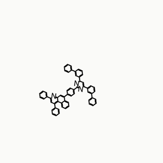 c1ccc(-c2cccc(-c3cc(-c4cccc(-c5ccccc5)c4)nc(-c4ccc(-c5cc6nc(-c7ccccc7)cc(-c7ccccc7)c6c6ccccc56)cc4)n3)c2)cc1